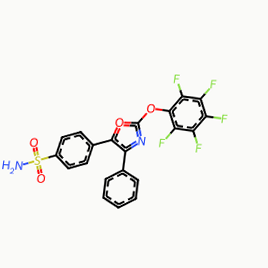 NS(=O)(=O)c1ccc(-c2oc(Oc3c(F)c(F)c(F)c(F)c3F)nc2-c2ccccc2)cc1